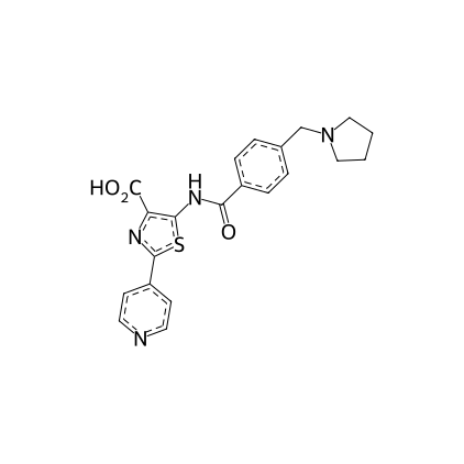 O=C(Nc1sc(-c2ccncc2)nc1C(=O)O)c1ccc(CN2CCCC2)cc1